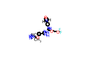 C[C@@H](Cn1cnnn1)Oc1cc(-c2cnc(Nc3cn([C@H]4CC[C@H](N5[C@@H]6CC[C@H]5COC6)CC4)nc3OCCCOC(F)F)nc2)ccc1C#N